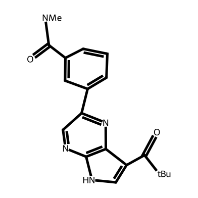 CNC(=O)c1cccc(-c2cnc3[nH]cc(C(=O)C(C)(C)C)c3n2)c1